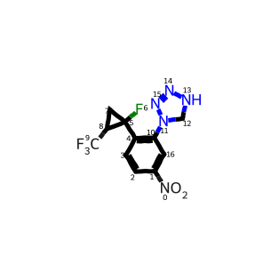 O=[N+]([O-])c1ccc(C2(F)CC2C(F)(F)F)c(N2CNN=N2)c1